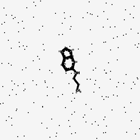 CCCNc1ccc2n[c]sc2n1